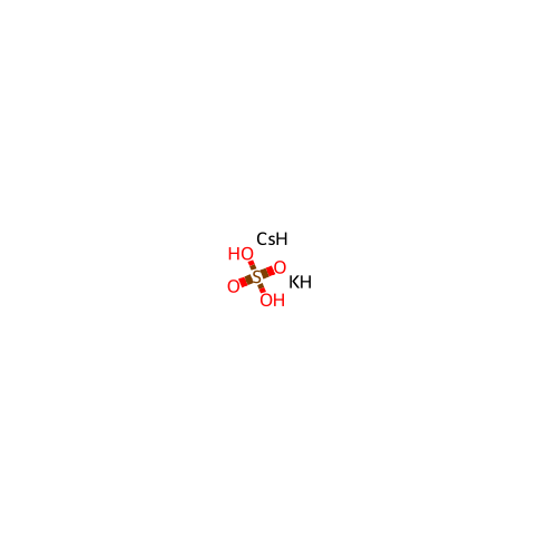 O=S(=O)(O)O.[CsH].[KH]